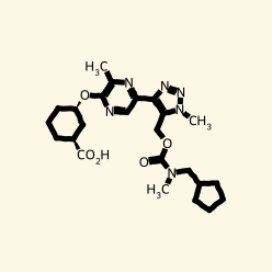 Cc1nc(-c2nnn(C)c2COC(=O)N(C)CC2CCCC2)cnc1O[C@H]1CCC[C@H](C(=O)O)C1